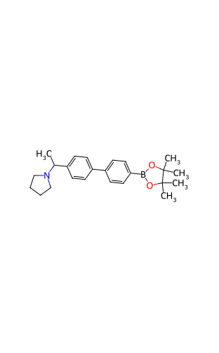 CC(c1ccc(-c2ccc(B3OC(C)(C)C(C)(C)O3)cc2)cc1)N1CCCC1